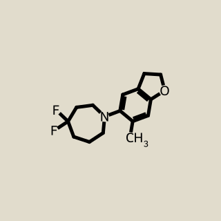 Cc1cc2c(cc1N1CCCC(F)(F)CC1)CCO2